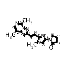 Cc1cnc(C)n2nc(/C=C/c3nc(N4CCCC4=O)cn3C)nc12